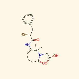 CC1(C)C(NC(=O)C(S)Cc2ccccc2)CCCC(=O)N1CC(=O)O